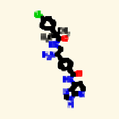 CC(C)(C(=O)NCC(N)c1ccc(C(=O)Nc2ccnc3[nH]cnc23)cc1)c1ccc(Cl)cc1